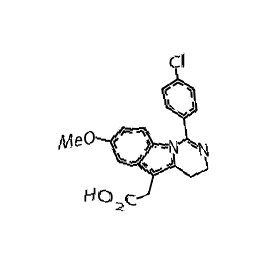 COc1ccc2c(c1)c(CC(=O)O)c1n2C(c2ccc(Cl)cc2)=NCC1